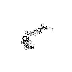 COC(=O)c1cn(CC(=O)NNC(=O)[C@@H]2CC[C@@H]3CN2C(=O)N3OS(=O)(=O)O)nn1